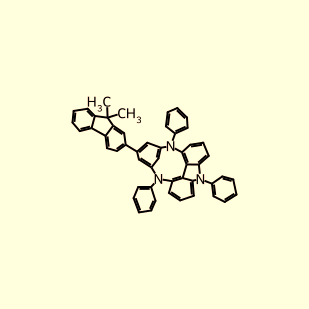 CC1(C)c2ccccc2-c2ccc(-c3cc4cc(c3)N(c3ccccc3)c3cccc5c3c3c(cccc3n5-c3ccccc3)N4c3ccccc3)cc21